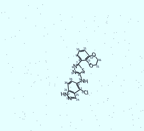 Clc1c(Nc2nnc(-c3cccc4c3OCCO4)s2)ccc2[nH]ncc12